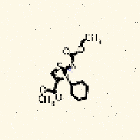 CCOC(=O)/N=c1\scc(C(=O)OC)n1C1CCCCC1